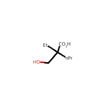 CCCC(CC)(CO)C(=O)O